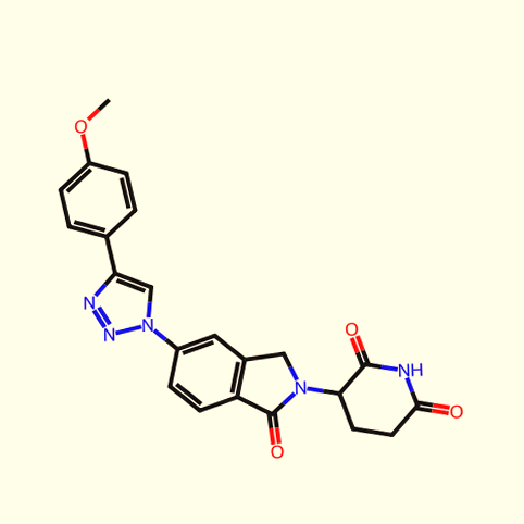 COc1ccc(-c2cn(-c3ccc4c(c3)CN(C3CCC(=O)NC3=O)C4=O)nn2)cc1